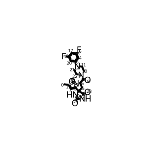 Cc1cc(C2(CCC(=O)N3CCN(c4cc(F)cc(F)c4)CC3)NC(=O)NC2=O)no1